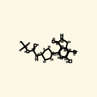 CC(C)(C)OC(=O)NC1CCN(c2nc(Cl)c(Br)c3c2C(=O)NC3)CC1